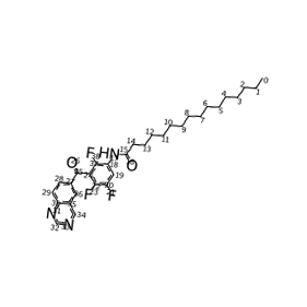 CCCCCCCCCCCCCCCC(=O)Nc1cc(F)c(F)c(C(=O)c2ccc3ncncc3c2)c1F